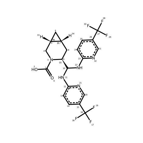 O=C(O)N1C[C@@H]2C[C@@H]2C[C@H]1C(Nc1ccc(C(F)(F)F)cn1)Nc1ccc(C(F)(F)F)cn1